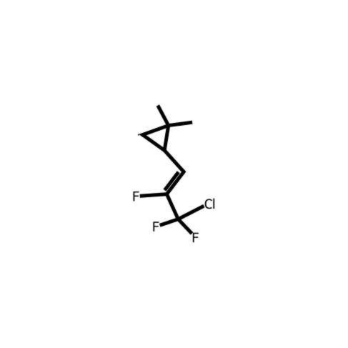 CC1(C)[CH]C1C=C(F)C(F)(F)Cl